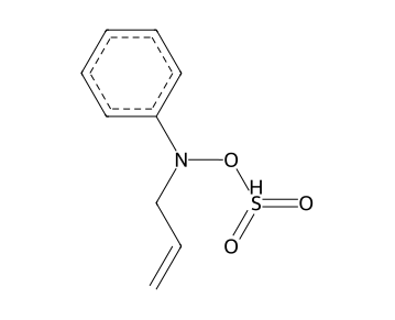 C=CCN(O[SH](=O)=O)c1ccccc1